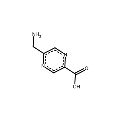 NCc1cnc(C(=O)O)cn1